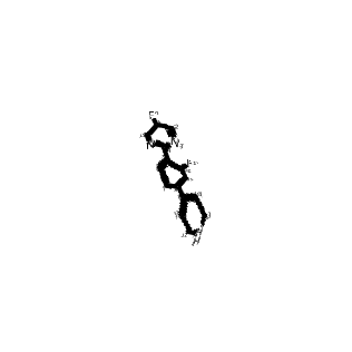 Fc1cnc(-c2ccc(C3=CCNCC3)cc2F)nc1